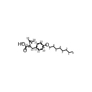 CCCCCCCCOc1ccc(C[C@@H](C(=O)O)N(C)C)cc1